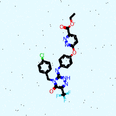 CCOC(=O)c1ccc(Oc2ccc(/N=c3\[nH]nc(C(F)(F)F)c(=O)n3Cc3ccc(Cl)cc3)cc2)nn1